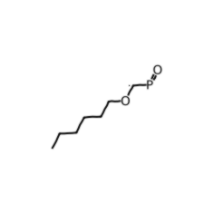 CCCCCCO[CH]P=O